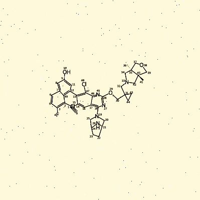 C#Cc1c(F)ccc2cc(O)cc(-c3c(Cl)cc4c(N5CC6CCC(C5)N6)nc(OCC5(CN6C[C@@]7(C)COC[C@]7(C)C6)CC5)nc4c3Cl)c12